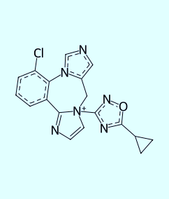 Clc1cccc2c1-n1cncc1C[N+]1(c3noc(C4CC4)n3)C=CN=C21